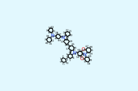 c1ccc(-c2ccc3c(c2)c2cc(-c4ccc5c(c4)c4ccccc4n5-c4ccc(N(c5ccccc5)c5ccccc5)cc4)ccc2n3-c2cc3c4c(c2)Oc2ccccc2N4c2ccccc2O3)cc1